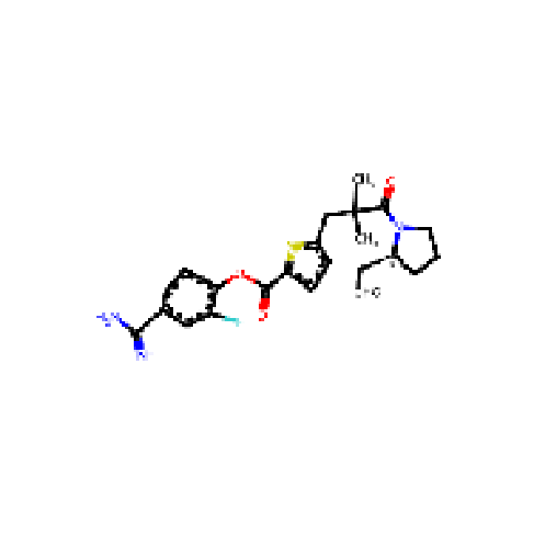 CC(C)(Cc1ccc(C(=O)Oc2ccc(C(=N)N)cc2F)s1)C(=O)N1CCC[C@H]1CC=O